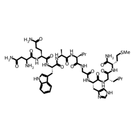 CSCC[C@H](NC(=O)[C@H](CC(C)C)NC(=O)[C@H](Cc1c[nH]cn1)NC(=O)CNC(=O)[C@@H](NC(=O)[C@H](C)NC(=O)[C@H](Cc1c[nH]c2ccccc12)NC(=O)[C@H](CCC(N)=O)NC(=O)C(N)CC(N)=O)C(C)C)C(N)=O